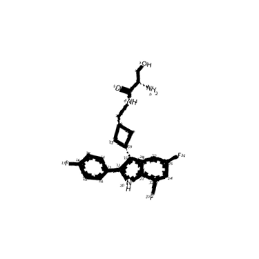 N[C@@H](CO)C(=O)NC[C@H]1C[C@H](c2c(-c3ccc(F)cc3)[nH]c3c(F)cc(F)cc32)C1